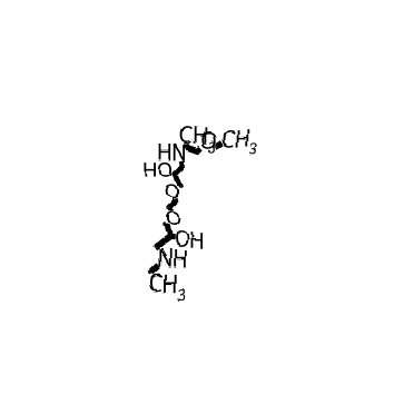 CCNCC(O)COCCOCC(O)CNC(C)COCC